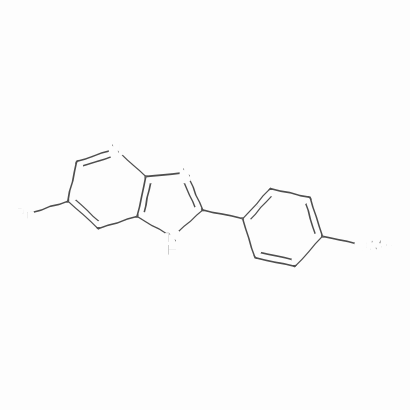 COc1ccc(-c2nc3ncc(Br)cc3[nH]2)cc1